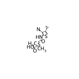 CC(C)(SCC(=O)Nc1scc(C2CC2)c1C#N)C(=O)O